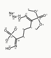 COP(=O)(OC)C(CCCC(=NO)P(=O)([O-])[O-])=NO.[Na+].[Na+]